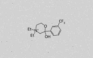 CC[N+]1(CC)CCOC(O)(c2cccc(C(F)(F)F)c2)C1